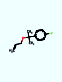 C=CCOC(C)(C)c1ccc(F)cc1